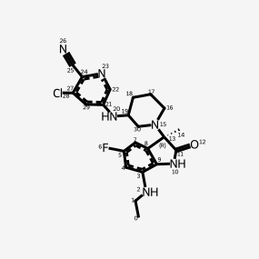 CCNc1cc(F)cc2c1NC(=O)[C@]2(C)N1CCCC(Nc2cnc(C#N)c(Cl)c2)C1